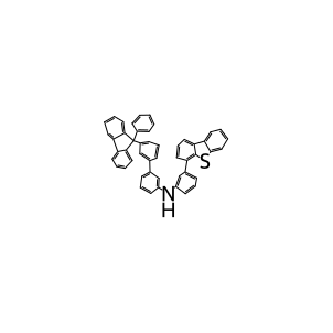 c1ccc(C2(c3cccc(-c4cccc(Nc5cccc(-c6cccc7c6sc6ccccc67)c5)c4)c3)c3ccccc3-c3ccccc32)cc1